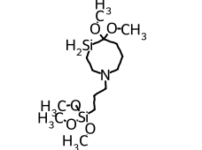 COC1(OC)CCCN(CCC[Si](OC)(OC)OC)CC[SiH2]1